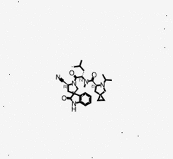 CC(C)C[C@@H](C(=O)N1C[C@]2(C[C@H]1C#N)C(=O)Nc1ccccc12)N(C)C(=O)[C@@H]1CC2(CC2)CN1C(C)C